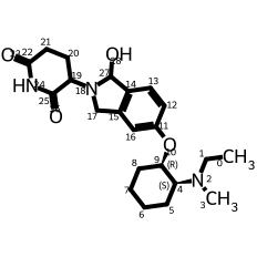 CCN(C)[C@H]1CCCC[C@H]1Oc1ccc2c(c1)CN(C1CCC(=O)NC1=O)C2O